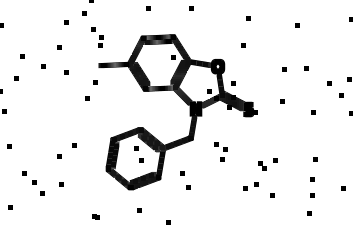 Cc1ccc2oc(=S)n(Cc3ccccc3)c2c1